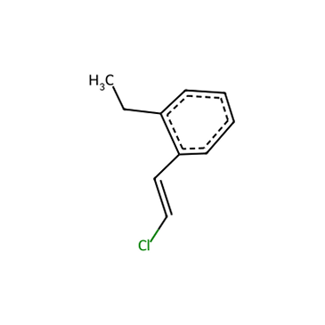 CCc1ccccc1/C=C/Cl